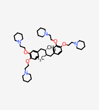 C[C@H](Cc1ccc(OCCN2CCCCC2)c(OCCN2CCCCC2)c1)[C@@H](C)Cc1ccc(OCCN2CCCCC2)c(OCCN2CCCCC2)c1